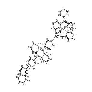 c1ccc(N2c3ccccc3C3(c4ccccc4-c4cc(-c5ccc(-c6c7ccccc7c(-c7ccc(-c8ccc9ccccc9c8)cc7)c7ccccc67)nc5)ccc43)c3ccccc32)cc1